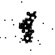 CN(C)C(=O)[C@H]1CC[C@H]2[C@@H](C1)NS(=O)(=O)N2C(=O)OC1(C)CCCCC1